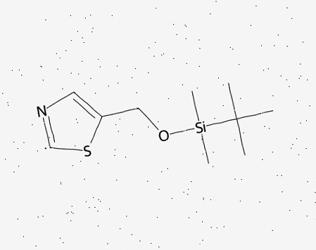 CC(C)(C)[Si](C)(C)OCc1cn[c]s1